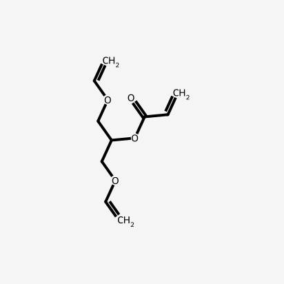 C=COCC(COC=C)OC(=O)C=C